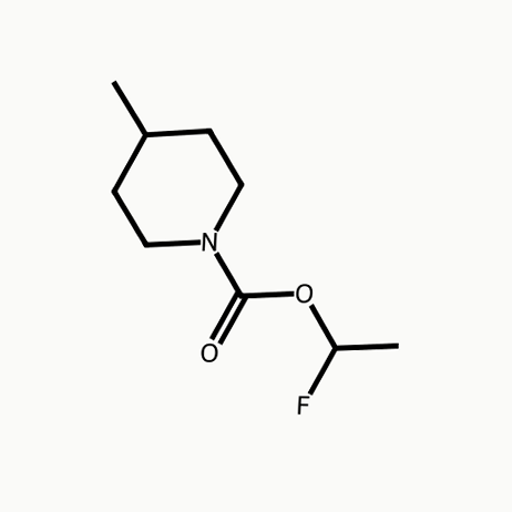 CC1CCN(C(=O)OC(C)F)CC1